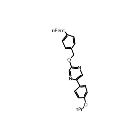 CCCCCc1ccc(COc2cnc(-c3ccc(OCCC)cc3)cn2)cc1